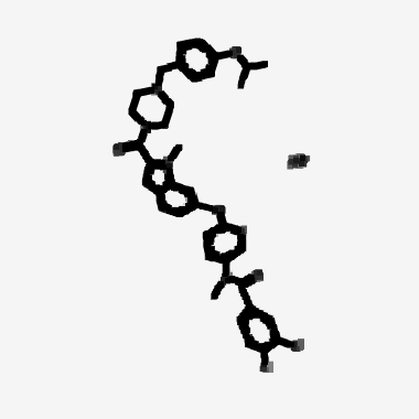 Br.CC(C)Oc1ccc(CN2CCN(C(=O)c3cc4ccc(Oc5ccc(N(C)C(=O)c6ccc(Cl)c(Cl)c6)cn5)cc4n3C)CC2)cc1